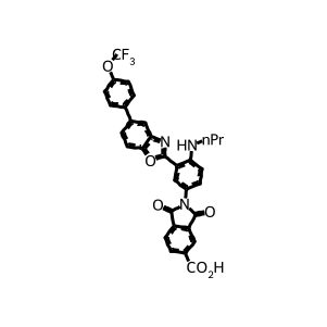 CCCNc1ccc(N2C(=O)c3ccc(C(=O)O)cc3C2=O)cc1-c1nc2cc(-c3ccc(OC(F)(F)F)cc3)ccc2o1